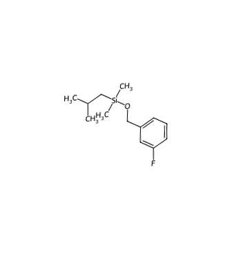 CC(C)C[Si](C)(C)OCc1cccc(F)c1